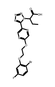 CCC(C(=O)O)n1nnnc1-c1cnc(OCCOc2cc(F)ccc2Br)cn1